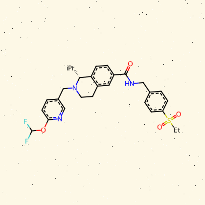 CCS(=O)(=O)c1ccc(CNC(=O)c2ccc3c(c2)CCN(Cc2ccc(OC(F)F)nc2)[C@@H]3C(C)C)cc1